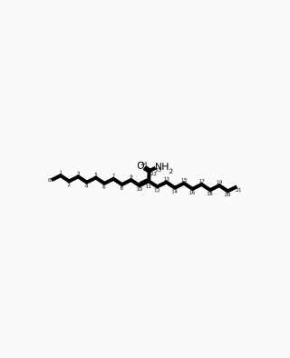 CCCCCCCCCCC=C(CCCCCCCCCC)C(N)=O